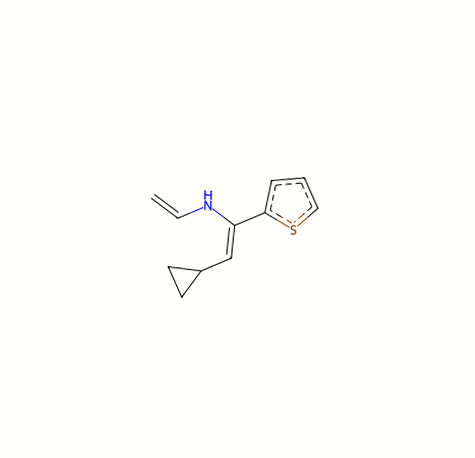 C=CN/C(=C\C1CC1)c1cccs1